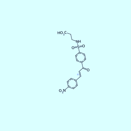 O=C(O)CCNS(=O)(=O)c1ccc(C(=O)/C=C/c2ccc([N+](=O)[O-])cc2)cc1